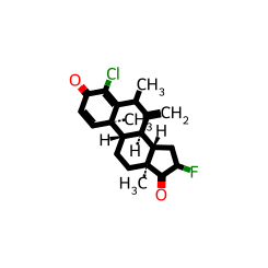 C=C1C(C)C2=C(Cl)C(=O)C=C[C@]2(C)[C@H]2CC[C@]3(C)C(=O)C(F)C[C@H]3[C@H]12